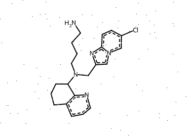 NCCCCN(Cc1cn2cc(Cl)ccc2n1)C1CCCc2cccnc21